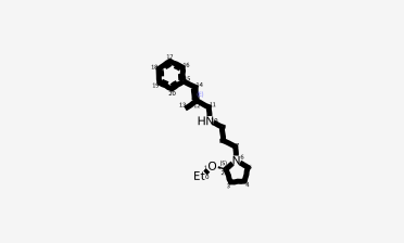 CCO[C@H]1CCCN1CCCNC/C(C)=C/c1ccccc1